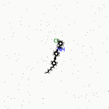 CCCCCCc1ccc(C#Cc2ccc(CNC(C)(C)c3cccc(Cl)c3)cc2)cc1